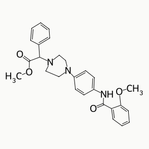 COC(=O)C(c1ccccc1)N1CCN(c2ccc(NC(=O)c3ccccc3OC)cc2)CC1